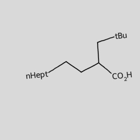 CCCCCCCCCC(CC(C)(C)C)C(=O)O